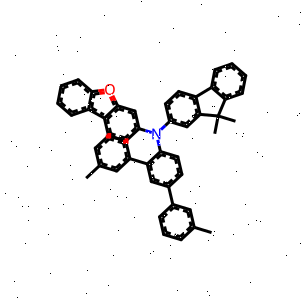 Cc1cccc(-c2ccc(N(c3ccc4c(c3)C(C)(C)c3ccccc3-4)c3ccc4c(c3)oc3ccccc34)c(-c3cccc(C)c3)c2)c1